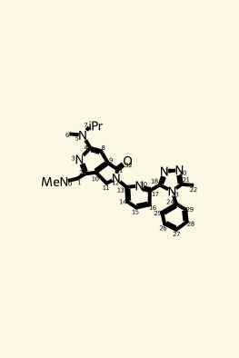 CNCc1nc(N(C)C(C)C)cc2c1CN(c1cccc(-c3nnc(C)n3-c3ccccc3)n1)C2=O